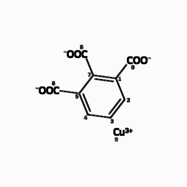 O=C([O-])c1cccc(C(=O)[O-])c1C(=O)[O-].[Cu+3]